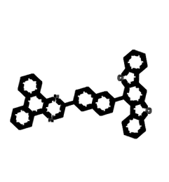 c1ccc2c(c1)oc1c(-c3ccc4cc(-c5cnc6c7ccccc7c7ccccc7c6n5)ccc4c3)c3c(cc12)oc1ccccc13